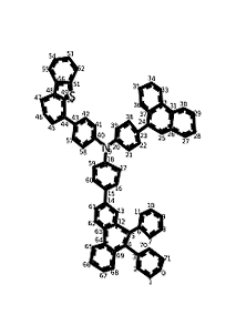 c1ccc(-c2c(-c3ccccc3)c3cc(-c4ccc(N(c5ccc(-c6cc7ccccc7c7ccccc67)cc5)c5ccc(-c6cccc7c6sc6ccccc67)cc5)cc4)ccc3c3ccccc23)cc1